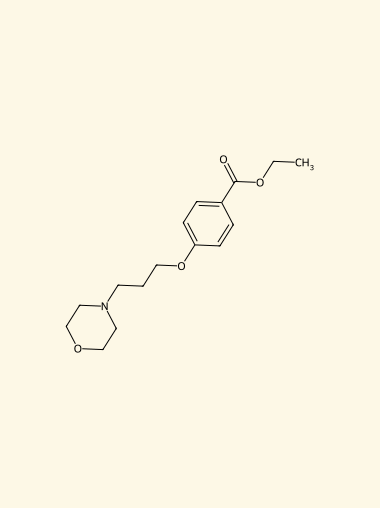 CCOC(=O)c1ccc(OCCCN2CCOCC2)cc1